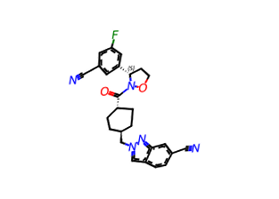 N#Cc1cc(F)cc([C@@H]2CCON2C(=O)[C@H]2CC[C@H](Cn3cc4ccc(C#N)cc4n3)CC2)c1